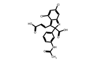 CC(=O)Nc1cccc(C2(C(=O)O)N=c3cc(Cl)cc(Cl)c3=C2C=CC(=O)O)c1